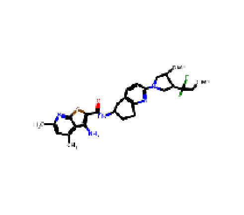 CNC1CN(c2ccc3c(n2)CCC(NC(=O)c2sc4nc(C)cc(C)c4c2N)C3)CC1C(F)(F)COC